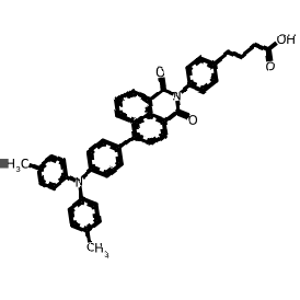 Cc1ccc(N(c2ccc(C)cc2)c2ccc(-c3ccc4c5c(cccc35)C(=O)N(c3ccc(CCCC(=O)O)cc3)C4=O)cc2)cc1